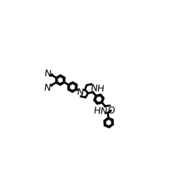 N#Cc1ccc(-c2ccc(N3CCC4C(c5ccc(C6COC(c7ccccc7)N6)cc5)NCCC43)cc2)cc1C#N